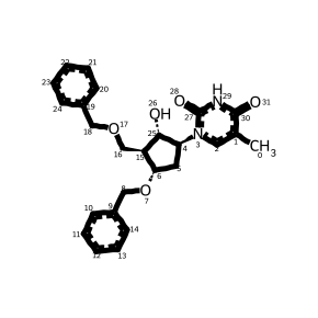 Cc1cn([C@H]2C[C@H](OCc3ccccc3)[C@@H](COCc3ccccc3)[C@@H]2O)c(=O)[nH]c1=O